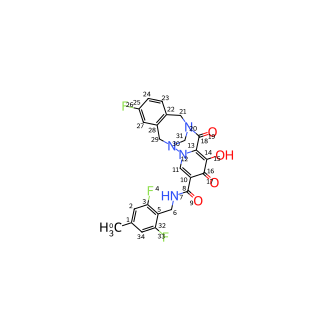 Cc1cc(F)c(CNC(=O)c2cn3c(c(O)c2=O)C(=O)N2Cc4ccc(F)cc4CN3C2)c(F)c1